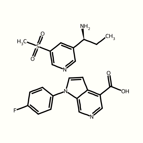 CC[C@H](N)c1cncc(S(C)(=O)=O)c1.O=C(O)c1cncc2c1ccn2-c1ccc(F)cc1